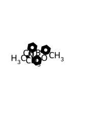 Cc1cccc2c1Oc1cccc3c1B2c1ccccc1N3C(C)(C)C